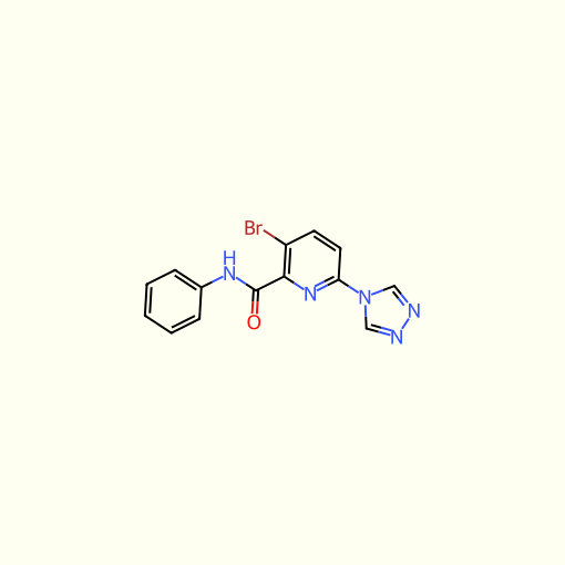 O=C(Nc1ccccc1)c1nc(-n2cnnc2)ccc1Br